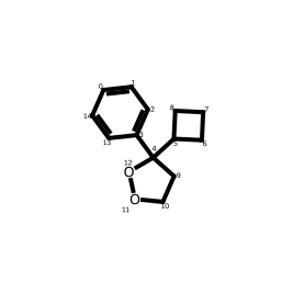 c1ccc(C2(C3CCC3)CCOO2)cc1